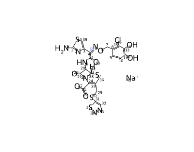 Nc1nc(/C(=N/OCc2ccc(O)c(O)c2Cl)C(=O)NC2C(=O)N3C(C(=O)[O-])=C(CSc4cnns4)CS[C@@H]23)cs1.[Na+]